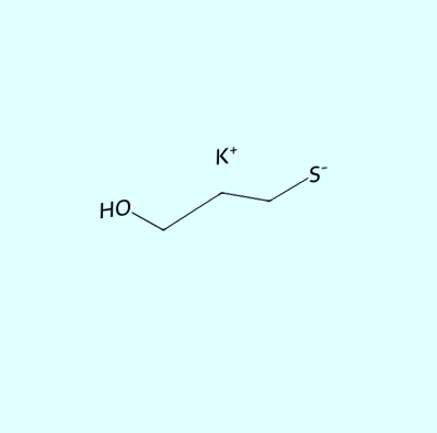 OCCC[S-].[K+]